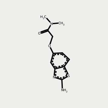 CN(C)C(=O)COc1ccc2sc(N)nc2c1